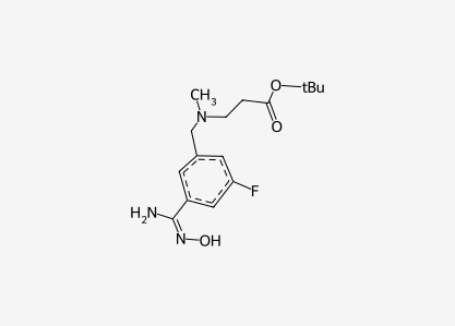 CN(CCC(=O)OC(C)(C)C)Cc1cc(F)cc(/C(N)=N\O)c1